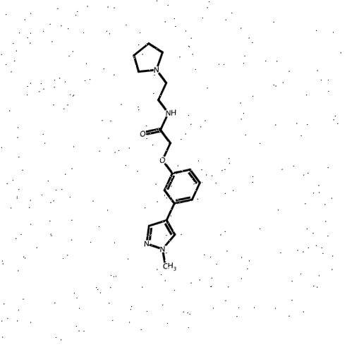 Cn1cc(-c2c[c]cc(OCC(=O)NCCN3CCCC3)c2)cn1